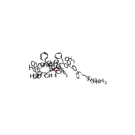 CC(=O)O[C@@]12CO[C@@H]1C[C@H](O)[C@@]1(C)C(=O)[C@H](O)C3=C(C)[C@@H](OC(=O)[C@H](OC(=O)COC(=O)CCCSOOON)[C@@H](C)c4ccccc4)C[C@@](O)(C(OC(=O)c4ccccc4)[C@H]21)C3(C)C